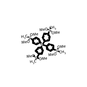 CO[Si](C)(OC)c1ccc([Si](c2ccc([Si](C)(OC)OC)cc2)(c2ccc([Si](C)(OC)OC)cc2)c2ccc([Si](C)(OC)OC)cc2)cc1